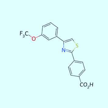 O=C(O)c1ccc(-c2nc(-c3cccc(OC(F)(F)F)c3)cs2)cc1